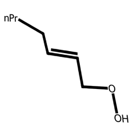 CCCCC=CCOO